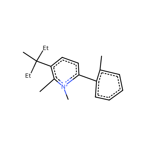 CCC(C)(CC)c1ccc(-c2ccccc2C)[n+](C)c1C